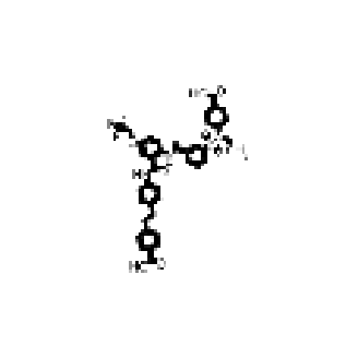 CCN(C1CCC(C(=O)O)CC1)S(=O)(=O)c1cccc(C(=O)Nc2ccc(OCC(F)(F)F)cc2C(=O)Nc2ccc(CCc3ccc(C(=O)O)cc3)cc2)c1